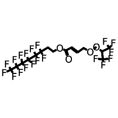 O=C(/C=C/COOC(C(F)(F)F)C(F)(F)F)OCCC(F)(F)C(F)(F)C(F)(F)C(F)(F)C(F)(F)C(F)(F)F